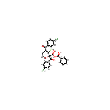 O=C(OC(=O)C1(C(=O)c2ccc(Cl)cc2)OCCC(C(=O)c2ccc(Cl)cc2)C1F)c1ccccc1